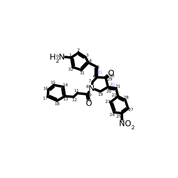 Nc1ccc(/C=C2\CN(C(=O)CCc3ccccc3)C/C(=C\c3ccc([N+](=O)[O-])cc3)C2=O)cc1